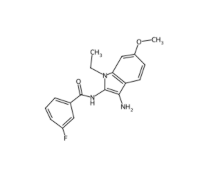 CCn1c(NC(=O)c2cccc(F)c2)c(N)c2ccc(OC)cc21